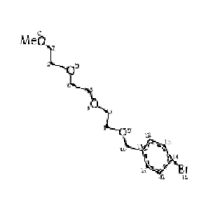 COCCOCCOCCOCc1ccc(Br)cc1